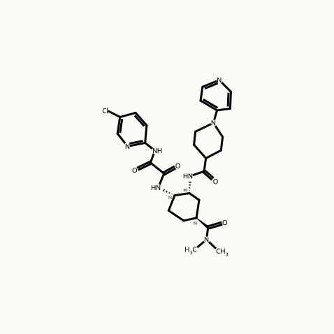 CN(C)C(=O)[C@H]1CC[C@H](NC(=O)C(=O)Nc2ccc(Cl)cn2)[C@H](NC(=O)C2CCN(c3ccncc3)CC2)C1